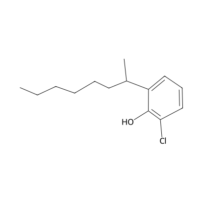 CCCCCCC(C)c1cccc(Cl)c1O